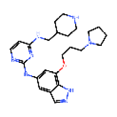 c1cc(NCC2CCNCC2)nc(Nc2cc(OCCCN3CCCC3)c3[nH]ncc3c2)n1